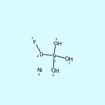 O[Si](O)(O)OF.[Ni]